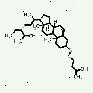 C=C(O)CCSS[C@H]1CC[C@@]2(C)C(=CC[C@@H]3C2CC[C@]2(C)[C@@H]([C@H](C)CC[C@@H](CC)C(C)C)CC[C@@H]32)C1